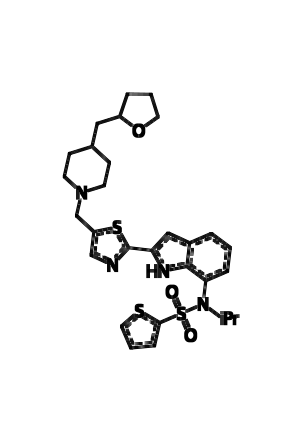 CC(C)N(c1cccc2cc(-c3ncc(CN4CCC(CC5CCCO5)CC4)s3)[nH]c12)S(=O)(=O)c1cccs1